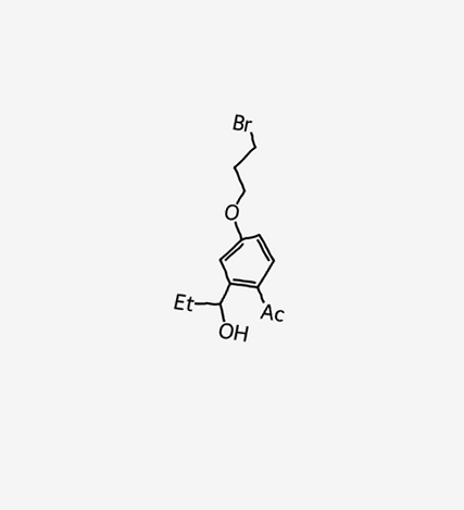 CCC(O)c1cc(OCCCBr)ccc1C(C)=O